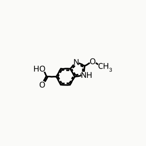 COc1nc2cc(C(=O)O)ccc2[nH]1